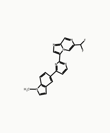 Cn1ccc2cc(-c3ccnc(-c4cnc5cnc(C(F)F)cn45)n3)ccc21